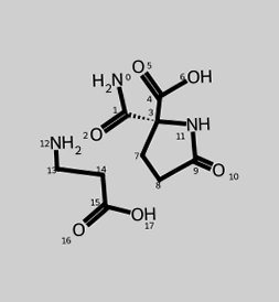 NC(=O)[C@@]1(C(=O)O)CCC(=O)N1.NCCC(=O)O